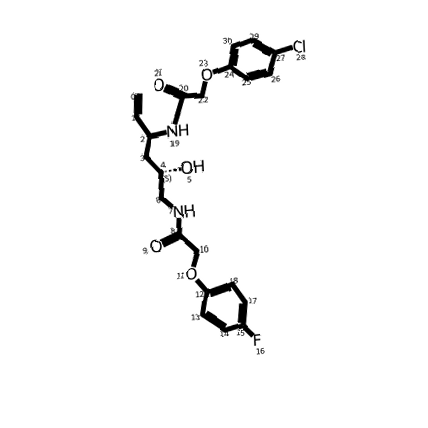 C=CC(C[C@H](O)CNC(=O)COc1ccc(F)cc1)NC(=O)COc1ccc(Cl)cc1